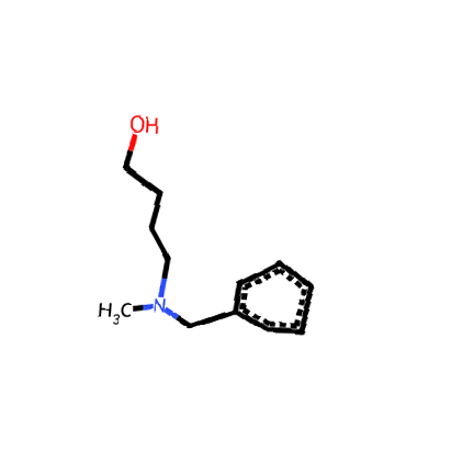 CN(CCCCO)Cc1ccccc1